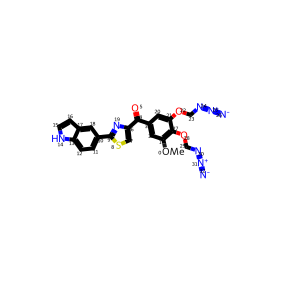 COc1cc(C(=O)c2csc(-c3ccc4[nH]ccc4c3)n2)cc(OCN=[N+]=[N-])c1OCN=[N+]=[N-]